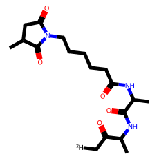 [2H]CC(=O)C(C)NC(=O)C(C)NC(=O)CCCCCN1C(=O)CC(C)C1=O